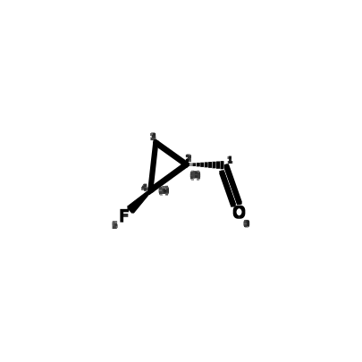 O=C[C@H]1C[C@@H]1F